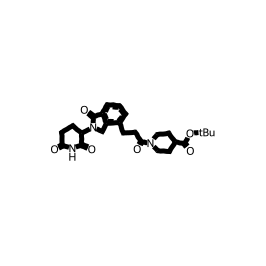 CC(C)(C)OC(=O)C1CCN(C(=O)CCc2cccc3c2CN(C2CCC(=O)NC2=O)C3=O)CC1